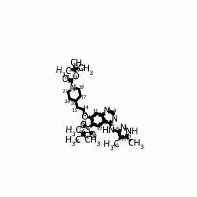 Cc1[nH]nc(Nc2ncnc3cc(OCCC4CCN(C(=O)OC(C)(C)C)CC4)c(S(=O)(=O)C(C)(C)C)cc23)c1C